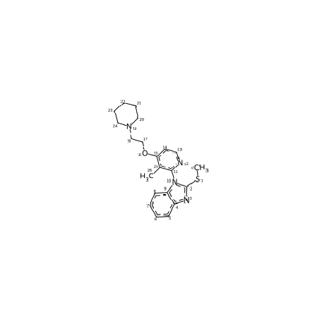 CSc1nc2ccccc2n1-c1nccc(OCCN2CCCCC2)c1C